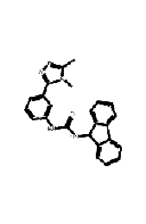 Cc1nnc(-c2cccc(NC(=O)NC3c4ccccc4-c4ccccc43)c2)n1C